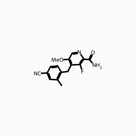 COc1cnc(C(N)=O)c(F)c1Cc1ccc(C#N)cc1C